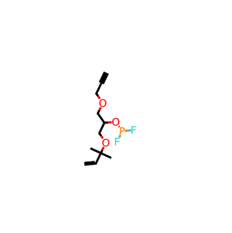 C#CCOCC(COC(C)(C)C=C)OP(F)F